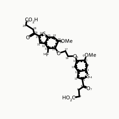 COc1cc2sc(C(=O)CCC(=O)O)cc2cc1OCCOc1c(OC)cc2sc(C(=O)CCC(=O)O)cc2c1F